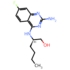 CCCC[C@H](CO)Nc1nc(N)nc2cc(F)ccc12